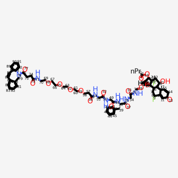 CCCC1O[C@@H]2CC3C4C[C@H](F)C5=CC(=O)C=C[C@]5(C)[C@@]4(F)[C@@H](O)C[C@]3(C)[C@]2(C(=O)COCNC(=O)CNC(=O)[C@H](Cc2ccccc2)NC(=O)CNC(=O)CNC(=O)CCOCCOCCOCCOCCNC(=O)CCC(=O)N2Cc3ccccc3C#Cc3ccccc32)O1